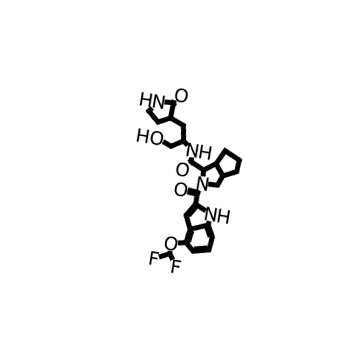 O=C1NCCC1CC(CO)NC(=O)C1C2CCCC2CN1C(=O)c1cc2c(OC(F)F)cccc2[nH]1